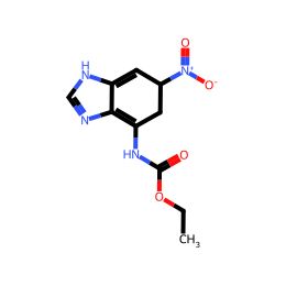 CCOC(=O)NC1=c2nc[nH]c2=CC([N+](=O)[O-])C1